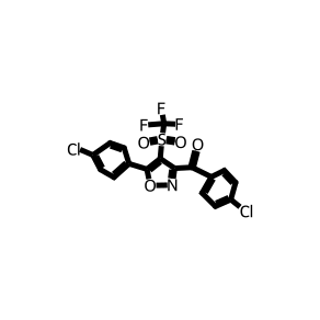 O=C(c1ccc(Cl)cc1)c1noc(-c2ccc(Cl)cc2)c1S(=O)(=O)C(F)(F)F